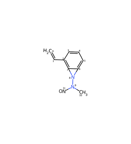 C=Cc1cccc2c1N2N(C)N=O